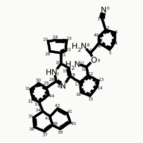 N#Cc1cccc(C(N)OC(N)c2ccccc2C2=CC(C3=CC=CCC3)NC(c3cccc(C4C=CC=C5C=CC=CC54)c3)=N2)c1